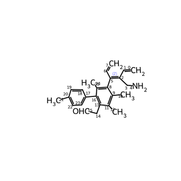 C=C/C(CN)=C(\C=C)c1c(C)c(C)c(CC=O)c(-c2ccc(C)cc2)c1C